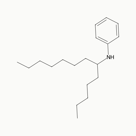 CCCCCCCC(CCCCC)Nc1ccccc1